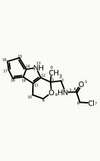 CC1(CNC(=O)CCl)OCCc2c1[nH]c1ccccc21